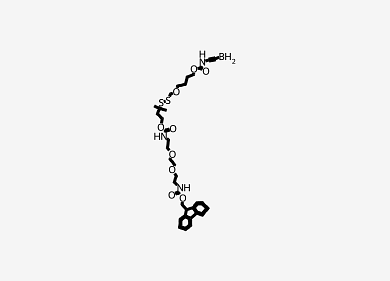 BC#CNC(=O)OCCCCOCSSC(C)(C)CCOC(=O)NCCOCCOCCNC(=O)OCC1c2ccccc2-c2ccccc21